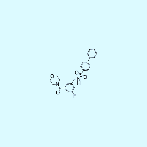 O=C(c1cc(F)cc(CNS(=O)(=O)c2ccc(-c3ccccc3)cc2)c1)N1CCOCC1